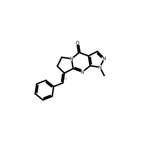 Cn1ncc2c(=O)n3c(nc21)/C(=C/c1ccccc1)CC3